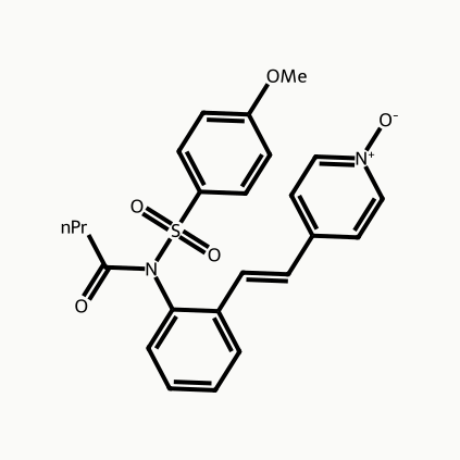 CCCC(=O)N(c1ccccc1/C=C/c1cc[n+]([O-])cc1)S(=O)(=O)c1ccc(OC)cc1